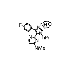 C1COCCN1.CCCn1cnc(-c2ccc(F)cc2)c1-c1nccc(NC)n1